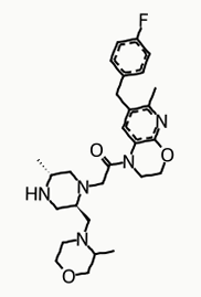 Cc1nc2c(cc1Cc1ccc(F)cc1)N(C(=O)CN1C[C@@H](C)NC[C@@H]1CN1CCOCC1C)CCO2